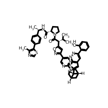 Cc1ncsc1-c1ccc([C@H](C)NC(=O)[C@@H]2CCCN2C(=O)[C@@H](c2cc(-c3cnc(N4C[C@H]5C[C@@H](C4)[C@H]5c4cc5cc(-c6ccccc6O)nnc5s4)nc3)no2)C(C)C)cc1